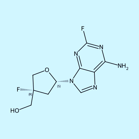 Nc1nc(F)nc2c1ncn2[C@@H]1C[C@@](F)(CO)CO1